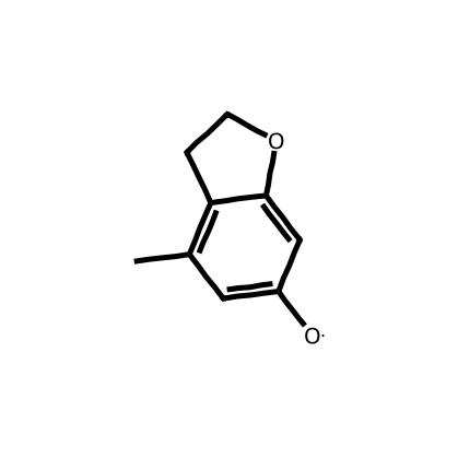 Cc1cc([O])cc2c1CCO2